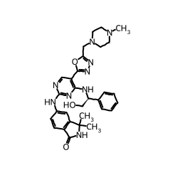 CN1CCN(Cc2nnc(-c3cnc(Nc4ccc5c(c4)C(C)(C)NC5=O)nc3N[C@H](CO)c3ccccc3)o2)CC1